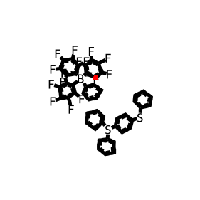 Fc1c(F)c(F)c([B-](c2ccccc2)(c2c(F)c(F)c(F)c(F)c2F)c2c(F)c(F)c(F)c(F)c2F)c(F)c1F.c1ccc(Sc2ccc([S+](c3ccccc3)c3ccccc3)cc2)cc1